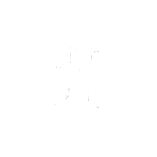 O=C(O)C(=CO)c1cc(F)cc(F)c1